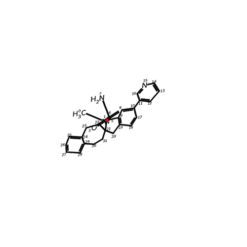 CN1C(=O)C2(N=C1N)c1cc(-c3cccnc3)ccc1CC21CCc2ccccc2CC1